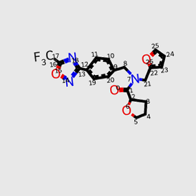 O=C(C1CCCO1)N(Cc1ccc(-c2noc(C(F)(F)F)n2)cc1)Cc1ccco1